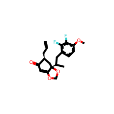 C=CC[C@H]1C[C@]2(C(C)Cc3ccc(OC)c(F)c3F)OCOC2=CC1=O